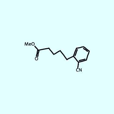 COC(=O)CCCCc1ccccc1C#N